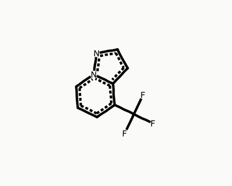 FC(F)(F)c1cccn2nccc12